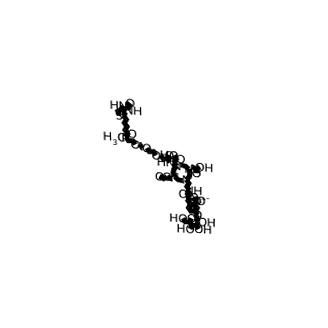 CN(CCOCCOCCOCCC(=O)NC(C(=O)O)N1CCN(COC=O)CCN(CCNC(=O)OCc2ccc(OC3OC(CO)C(O)C(O)C3O)cc2[N+](=O)[O-])CCN(CC(=O)O)CC1)C(=O)CCCCC1SCC2NC(=O)NC21